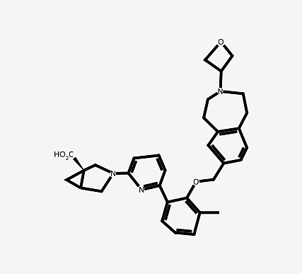 Cc1cccc(-c2cccc(N3CC4C[C@]4(C(=O)O)C3)n2)c1OCc1ccc2c(c1)CCN(C1COC1)CC2